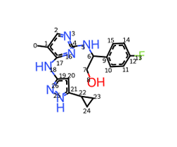 Cc1cnc(NC(CO)c2ccc(F)cc2)nc1Nc1cc(C2CC2)[nH]n1